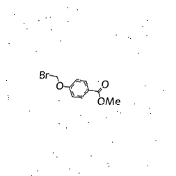 COC(=O)c1ccc(OCBr)cc1